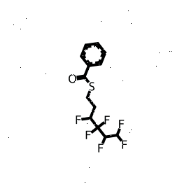 O=C(SCCC(F)C(F)(F)C(F)C(F)F)c1ccccc1